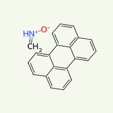 C=[NH+][O-].c1cc2cccc3c4cccc5cccc(c(c1)c23)c54